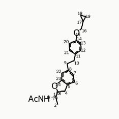 CC(=O)N[C@@H](C)[C@@H]1Cc2ccc(CCc3ccc(OCC4CC4)cc3)cc2O1